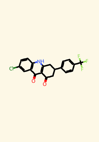 O=C1CC(c2ccc(C(F)(F)F)cc2)Cc2[nH]c3ccc(Cl)cc3c(=O)c21